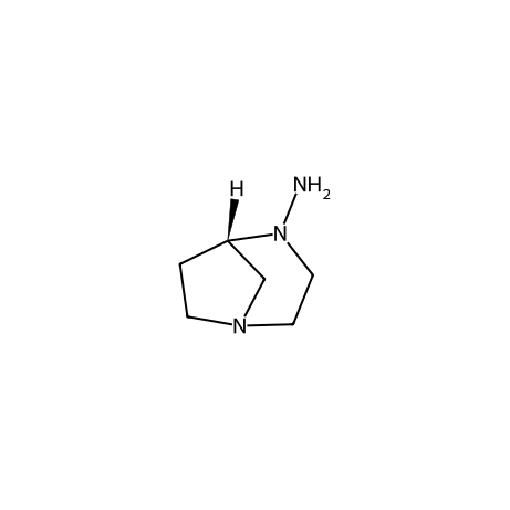 NN1CCN2CC[C@H]1C2